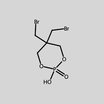 O=P1(O)OCC(CBr)(CBr)CO1